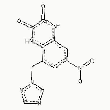 O=c1[nH]c2cc([N+](=O)[O-])cc(Cn3cncn3)c2[nH]c1=O